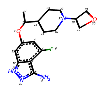 CC(Oc1cc(F)c2c(N)n[nH]c2c1)C1CCN(C2COC2)CC1